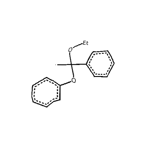 [CH2]C(OCC)(Oc1ccccc1)c1ccccc1